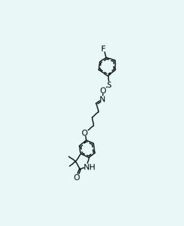 CC1(C)C(=O)Nc2ccc(OCCCC=NOSc3ccc(F)cc3)cc21